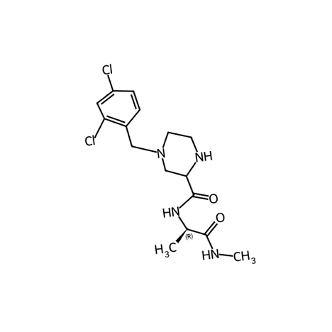 CNC(=O)[C@@H](C)NC(=O)C1CN(Cc2ccc(Cl)cc2Cl)CCN1